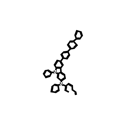 C=CC/C=C\C(=C/C)N(c1ccccc1)c1ccc2c3cc(-c4ccc(-c5ccc(-c6ccccc6)cc5)cc4)ccc3n(-c3ccccc3)c2c1